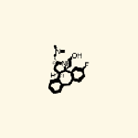 CN(C)C[C@H]1C[C@@H]2c3ccccc3Cc3ccc(F)cc3[C@@]2(CCO)N1